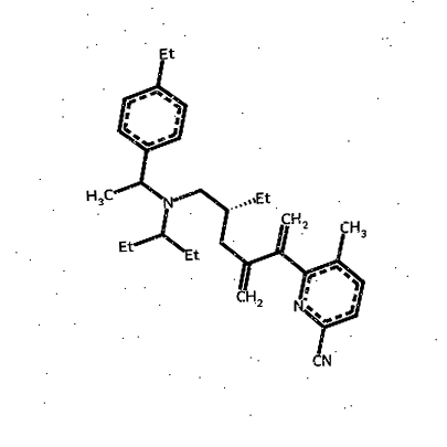 C=C(C[C@@H](CC)CN(C(CC)CC)C(C)c1ccc(CC)cc1)C(=C)c1nc(C#N)ccc1C